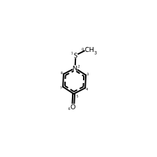 CSn1ccc(=O)cc1